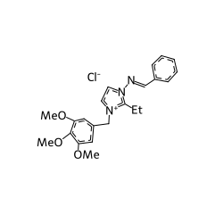 CCc1n(N=Cc2ccccc2)cc[n+]1Cc1cc(OC)c(OC)c(OC)c1.[Cl-]